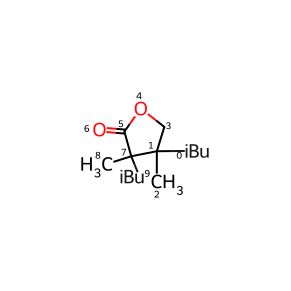 CCC(C)C1(C)COC(=O)C1(C)C(C)CC